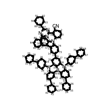 N#Cc1cccc(-n2c3ccccc3c3cc(-c4cc5c6c(c4)N(c4ccc(-c7ccccc7)cc4)c4ccc(-c7ccccc7)cc4B6c4cc(-c6ccccc6)ccc4N5c4ccc(-c5ccccc5)cc4)ccc32)c1-c1nc(-c2ccccc2)nc(-c2ccccc2)n1